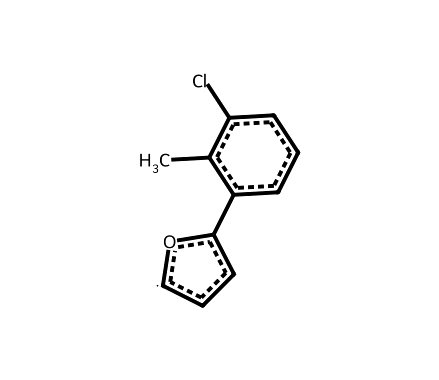 Cc1c(Cl)cccc1-c1cc[c]o1